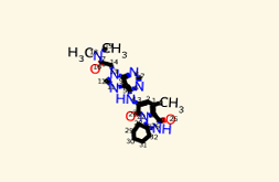 Cc1cc(Nc2ncnc3c2ncn3CC(=O)N(C)C)c(=O)n2c1C(=O)NC21CCCCC1